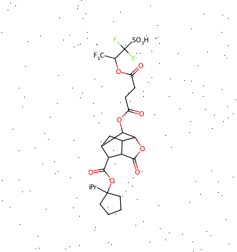 CC(C)C1(OC(=O)C2C3CC4C(OC(=O)C42)C3OC(=O)CCC(=O)OC(C(F)(F)F)C(F)(F)S(=O)(=O)O)CCCC1